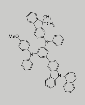 COc1ccc(N(c2ccccc2)c2cc(-c3ccc4c(c3)c3ccccc3n4-c3cccc4ccccc34)cc(N(c3ccccc3)c3ccc4c(c3)C(C)(C)c3ccccc3-4)c2)cc1